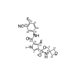 Cn1cc(S(=O)(=O)NC2(C)COC2)c(F)c1C(=O)Nc1ccc(F)c(C#N)c1